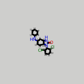 O=c1[nH]c2cc(Nc3ccccc3)ccc2n1-c1c(Cl)cccc1Cl